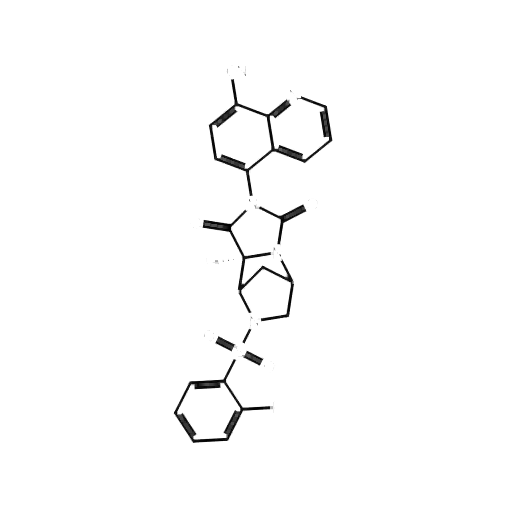 N#Cc1ccc(N2C(=O)[C@@H]3C4CC(CN4S(=O)(=O)c4ccccc4F)N3C2=O)c2cccnc12